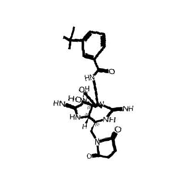 CC(C)(C)c1cccc(C(=O)NC2CN3C(=N)N[C@@H](CN4C(=O)CCC4=O)[C@@H]4NC(=N)N[C@@]43C2(O)O)c1